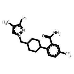 Cc1cn(CC2CCC(c3ccc(C(F)(F)F)cc3C(N)=O)CC2)nc1C(C)C